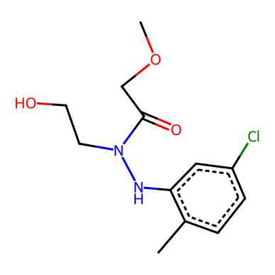 COCC(=O)N(CCO)Nc1cc(Cl)ccc1C